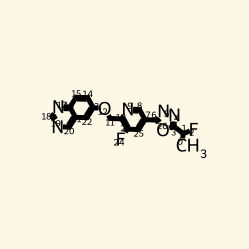 CC(F)c1nnc(-c2cnc(COc3ccc4ncncc4c3)c(F)c2)o1